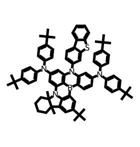 CC(C)(C)c1ccc(N(c2ccc(C(C)(C)C)cc2)c2ccc3c(c2)N(c2ccc4c(c2)sc2ccccc24)c2cc(N(c4ccc(C(C)(C)C)cc4)c4ccc(C(C)(C)C)cc4)cc4c2B3c2cc(C(C)(C)C)cc3c2N4C2(C)CCCCC32C)cc1